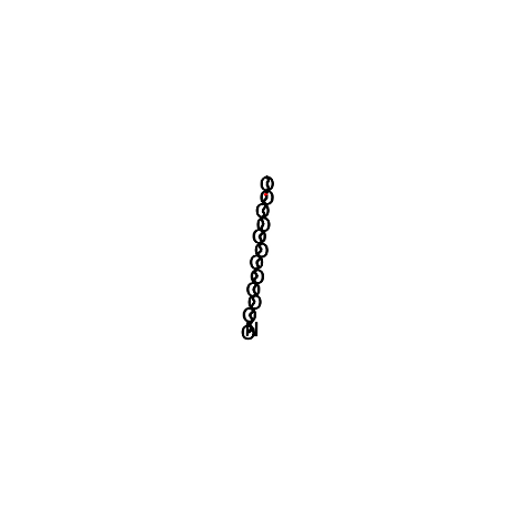 CCOCCOCCOCCOCCOCCOCCOCCOCCOCCOCCOCCN=O